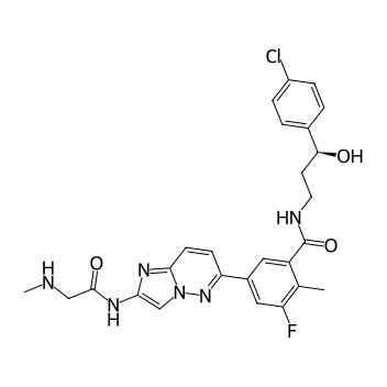 CNCC(=O)Nc1cn2nc(-c3cc(F)c(C)c(C(=O)NCC[C@H](O)c4ccc(Cl)cc4)c3)ccc2n1